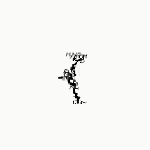 CNC(CC(=O)NCCCCCC(=O)O)CC(=O)NCCCC[C@H](NC(N)=O)C(=O)O